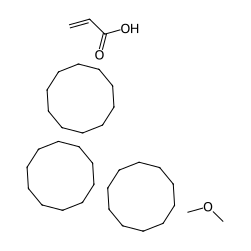 C1CCCCCCCCC1.C1CCCCCCCCC1.C1CCCCCCCCC1.C=CC(=O)O.COC